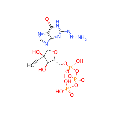 C#C[C@@]1(O)[C@H](O)[C@@H](COP(=O)(O)OP(=O)(O)OP(=O)(O)O)O[C@H]1n1cnc2c(=O)[nH]c(N=NN)nc21